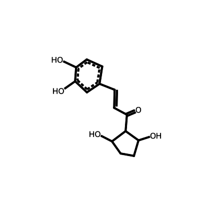 O=C(C=Cc1ccc(O)c(O)c1)C1C(O)CCC1O